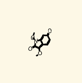 COC1=C2C=CC(=O)C=C2N(OC)C1=O